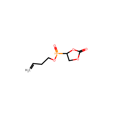 C=CCCO[PH](=O)C1COC(=O)O1